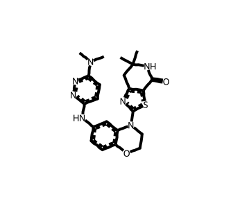 CN(C)c1ccc(Nc2ccc3c(c2)N(c2nc4c(s2)C(=O)NC(C)(C)C4)CCO3)nn1